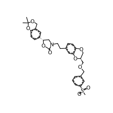 CC1(C)OCc2cc([C@@H]3CN(CCc4ccc5c(c4)O[C@H](COCc4cccc(S(C)(=O)=O)c4)CO5)C(=O)O3)ccc2O1